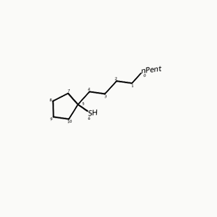 CCCCCCCCCC1(S)CCCC1